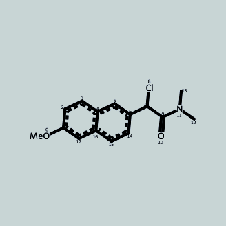 COc1ccc2cc(C(Cl)C(=O)N(C)C)ccc2c1